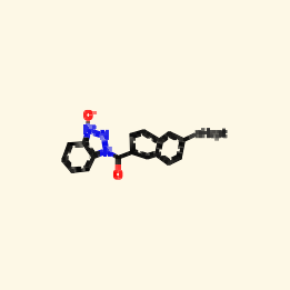 CCCCCCCc1ccc2cc(C(=O)n3n[n+]([O-])c4ccccc43)ccc2c1